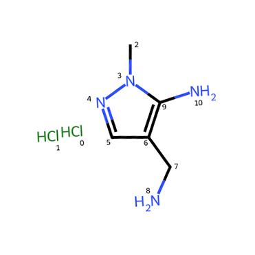 Cl.Cl.Cn1ncc(CN)c1N